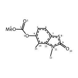 COC(=O)Oc1ccc2sc(=O)n(C)c2c1C